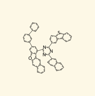 c1ccc(-c2cccc(-c3cc(-c4nc(-c5ccc6ccccc6c5)nc(-c5ccc6sc7ccccc7c6c5)n4)c4c(c3)oc3cc5ccccc5cc34)c2)cc1